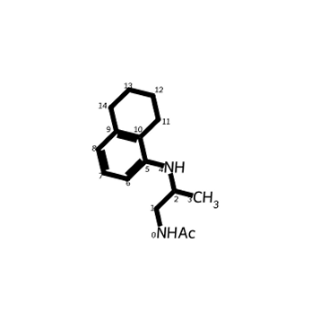 CC(=O)NCC(C)Nc1cccc2c1CCCC2